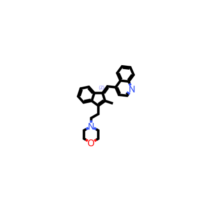 CC1=C(CCN2CCOCC2)c2ccccc2/C1=C/c1ccnc2ccccc12